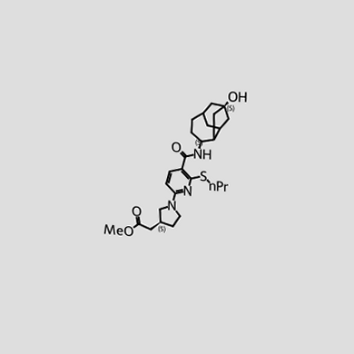 CCCSc1nc(N2CC[C@@H](CC(=O)OC)C2)ccc1C(=O)N[C@H]1CCC2CC3C[C@@](O)(C2)CC31